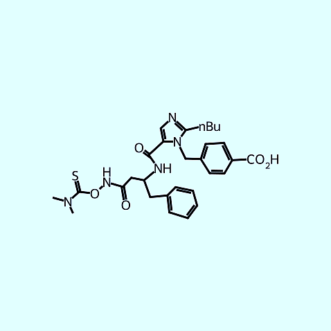 CCCCc1ncc(C(=O)NC(CC(=O)NOC(=S)N(C)C)Cc2ccccc2)n1Cc1ccc(C(=O)O)cc1